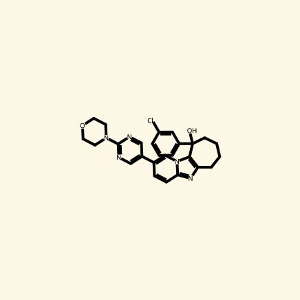 OC1(c2cccc(Cl)c2)CCCCc2nc3ccc(-c4cnc(N5CCOCC5)nc4)cn3c21